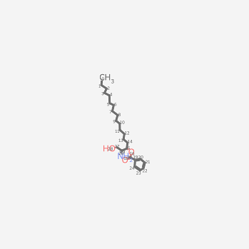 CCCCCCCCCCCCCCCC(OC(=O)c1ccccc1)[C@@H](N)CO